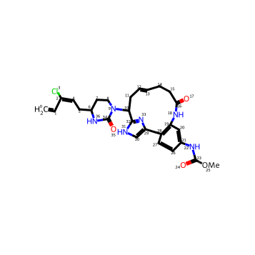 C=C/C(Cl)=C\CC1CCN(C2C/C=C/CCC(=O)Nc3cc(NC(=O)OC)ccc3-c3c[nH]c2n3)C(=O)N1